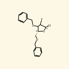 FC1C(OCc2ccccc2)[C@@H](COCc2ccccc2)O[C@@H]1Cl